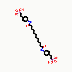 O=C(CCCCCCCCCCC(=O)Nc1ccc(CCP(=O)(O)O)cc1)Nc1ccc(CCP(=O)(O)O)cc1